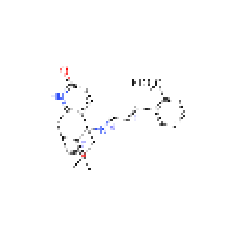 C/C=C1\C2C=C(C)CC1(/N=C/C=C/c1ccccc1C(=O)OCC)c1ccc(=O)[nH]c1C2